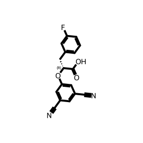 N#Cc1cc(C#N)cc(O[C@H](Cc2cccc(F)c2)C(=O)O)c1